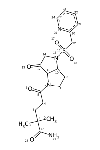 CC(C)(C[CH]C(=O)N1CCC2C1C(=O)CN2S(=O)(=O)Cc1ccccn1)C(N)=O